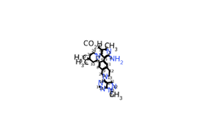 Cc1nc(N)c(-c2ccc3c(c2)CCN(c2ncnc4c2cnn4C)C3)c(N2CCC(C)(C)CC2)c1CC(=O)O